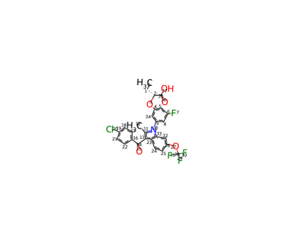 CC[C@@H](Oc1cc(F)cc(-n2c(C)c(C(=O)c3ccc(Cl)cc3)c3ccc(OC(F)(F)F)cc32)c1)C(=O)O